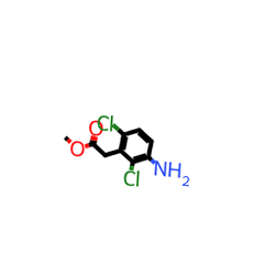 COC(=O)Cc1c(Cl)ccc(N)c1Cl